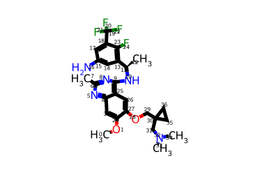 COc1cc2nc(C)nc(N[C@H](C)c3cc(N)cc(C(F)(F)F)c3F)c2cc1OCC1(CN(C)C)CC1